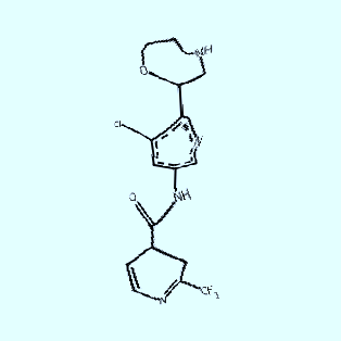 O=C(Nc1cnc(C2CNCCO2)c(Cl)c1)C1C=CN=C(C(F)(F)F)C1